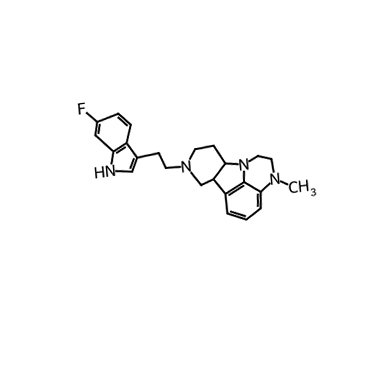 CN1CCN2c3c(cccc31)C1CN(CCc3c[nH]c4cc(F)ccc34)CCC12